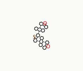 c1ccc2c(c1)oc1cccc(-c3c4ccccc4c(-c4ccc5c(c4)sc4cccc(-c6c7ccccc7c(-c7cccc8oc9ccccc9c78)c7ccccc67)c45)c4ccccc34)c12